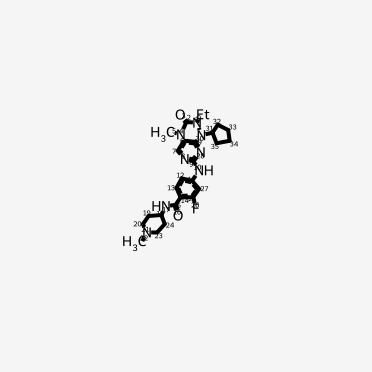 CCN1C(=O)N(C)c2cnc(Nc3ccc(C(=O)NC4CCN(C)CC4)c(F)c3)nc2N1C1CCCC1